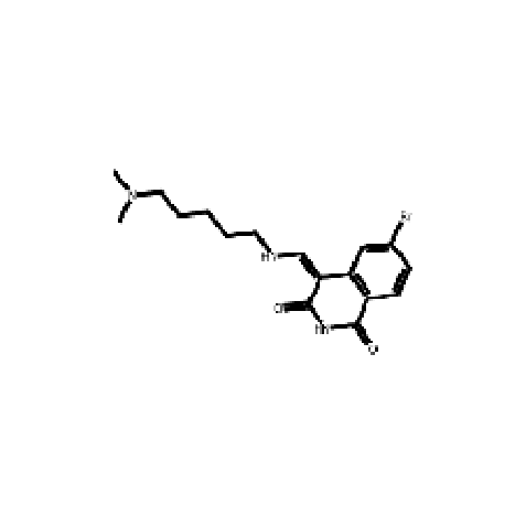 CN(C)CCCCCNC=C1C(=O)NC(=O)c2ccc(Br)cc21